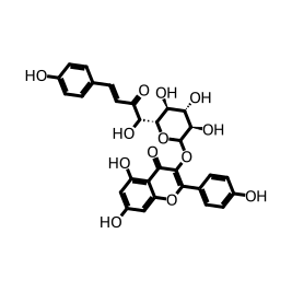 O=C(/C=C/c1ccc(O)cc1)C(O)[C@H]1OC(Oc2c(-c3ccc(O)cc3)oc3cc(O)cc(O)c3c2=O)[C@H](O)[C@@H](O)[C@@H]1O